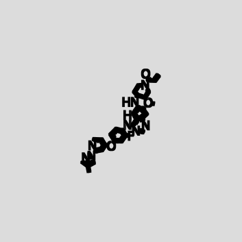 C=CC(=O)N1CCC(Nc2cc3c(Nc4ccc(Oc5ccnc(-n6cc(C)cn6)c5)cc4F)ncnc3cc2OC)CC1